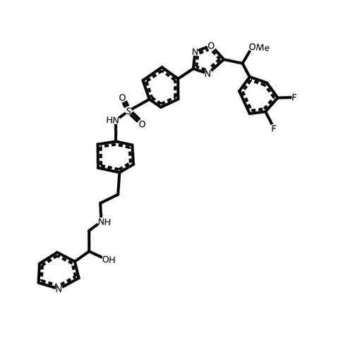 COC(c1ccc(F)c(F)c1)c1nc(-c2ccc(S(=O)(=O)Nc3ccc(CCNCC(O)c4cccnc4)cc3)cc2)no1